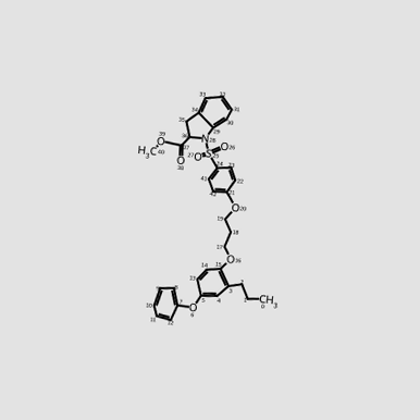 CCCc1cc(Oc2ccccc2)ccc1OCCCOc1ccc(S(=O)(=O)N2c3ccccc3CC2C(=O)OC)cc1